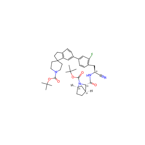 CC(C)(C)OC(=O)N1CCC2(CCc3ccc(-c4ccc(C[C@@H](C#N)NC(=O)[C@@H]5[C@H]6CC[C@H](C6)N5C(=O)OC(C)(C)C)c(F)c4)cc32)CC1